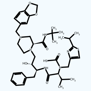 CC(C)c1nc(CN(C(=O)S)[C@H](C(=O)N[C@@H](Cc2ccccc2)[C@H](O)CN2CCN(Cc3ccc4c(c3)OCO4)C[C@H]2C(=O)NC(C)(C)C)C(C)C)cs1